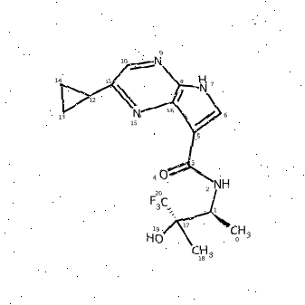 C[C@H](NC(=O)c1c[nH]c2ncc(C3CC3)nc12)[C@@](C)(O)C(F)(F)F